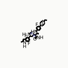 C=C(Nc1ccc(N2CCN(CC)CC2)c(F)c1)/C(C(=O)NC)=C(CCc1cc(F)c2[nH]c(C)cc2c1F)\N=C/N